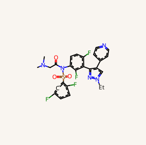 CCn1cc(-c2ccncc2)c(-c2c(F)ccc(N(C(=O)CN(C)C)S(=O)(=O)c3cc(F)ccc3F)c2F)n1